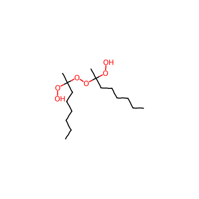 CCCCCCC(C)(OO)OOC(C)(CCCCCC)OO